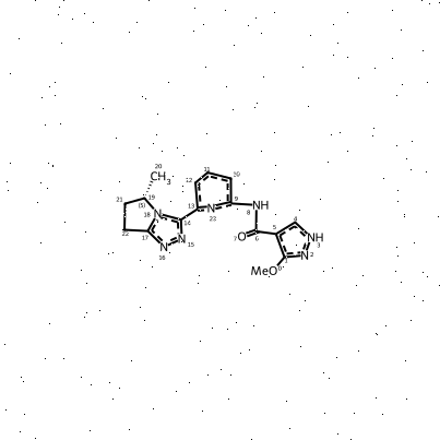 COc1n[nH]cc1C(=O)Nc1cccc(-c2nnc3n2[C@@H](C)CC3)n1